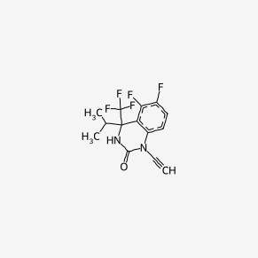 C#CN1C(=O)NC(C(C)C)(C(F)(F)F)c2c1ccc(F)c2F